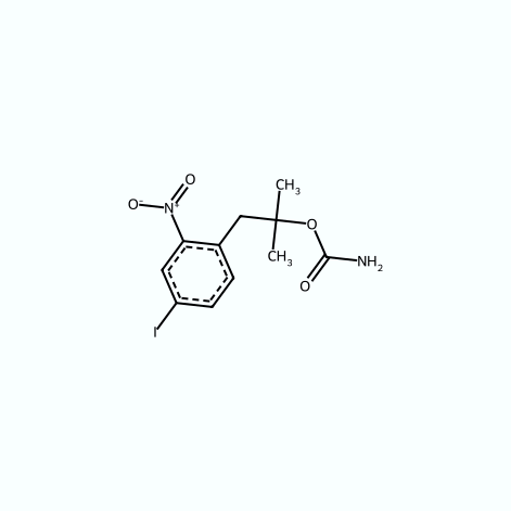 CC(C)(Cc1ccc(I)cc1[N+](=O)[O-])OC(N)=O